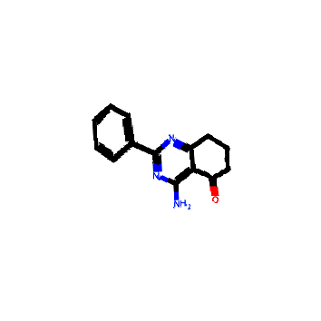 Nc1nc(-c2ccccc2)nc2c1C(=O)CCC2